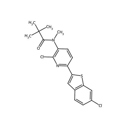 CN(C(=O)C(C)(C)C)c1ccc(-c2cc3ccc(Cl)cc3s2)nc1Cl